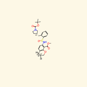 COC(=O)c1c(N[S+]([O-])c2ccccc2C[C@@H]2CCN(C(=O)OC(C)(C)C)C2)ccc2c1OC[C@@H]1C[C@H]21